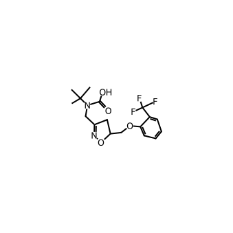 CC(C)(C)N(CC1=NOC(COc2ccccc2C(F)(F)F)C1)C(=O)O